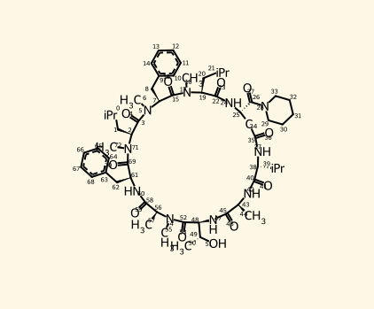 CC(C)C[C@H]1C(=O)N(C)[C@@H](Cc2ccccc2)C(=O)N(C)[C@@H](CC(C)C)C(=O)N[C@H](C(=O)N2CCCCC2)CC(=O)N[C@H](C(C)C)C(=O)N[C@@H](C)C(=O)N[C@@H]([C@@H](C)O)C(=O)N(C)[C@@H](C)C(=O)N[C@@H](Cc2ccccc2)C(=O)N1C